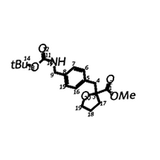 COC(=O)C1(Cc2ccc(CNC(=O)OC(C)(C)C)cc2)CCCO1